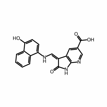 O=C1Nc2ncc(C(=O)O)cc2C1=CNc1ccc(O)c2ccccc12